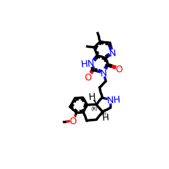 COc1cccc2c1CC[C@H]1CNC(CCn3c(=O)[nH]c4c(C)c(C)cnc4c3=O)[C@@H]21